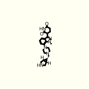 Cn1nc(C2CCC(=O)NC2=O)c2cccc(N3CCN(C[C@@H]4[C@@H]5CNC[C@@H]54)CC3)c21